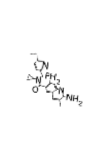 CCc1ccc(CN(C(=O)c2cc3cc(C)c(N)nc3cc2P)C2CC2)nc1